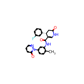 Cc1ccc(-n2ncccc2=O)cc1NC(=O)C1=CNC(=O)C[C@H]1c1cccc(F)c1